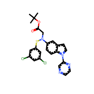 CC(C)(C)OC(=O)CN(Sc1cc(Cl)cc(Cl)c1)c1ccc2c(ccn2-c2cnccn2)c1